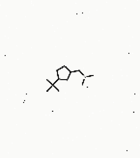 CN(C)CC1CCC(C(C)(C)C)C1